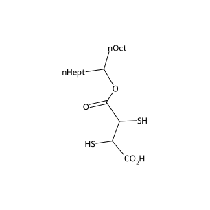 CCCCCCCCC(CCCCCCC)OC(=O)C(S)C(S)C(=O)O